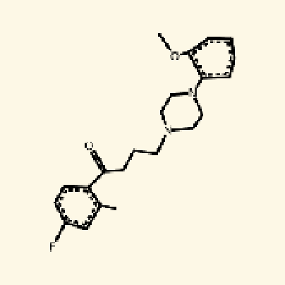 COc1ccccc1N1CCN(CCCC(=O)c2ccc(F)cc2C)CC1